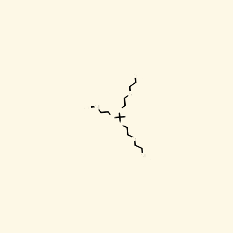 CCCNCCOC(C)(OCCNCCN)OCCNCCN